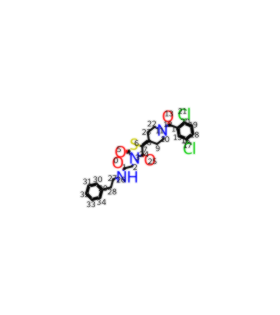 O=C(CN1C(=O)SC(=C2CCN(C(=O)c3cc(Cl)ccc3Cl)CC2)C1=O)NCCc1ccccc1